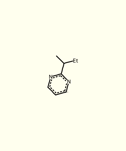 CCC(C)c1n[c]ccn1